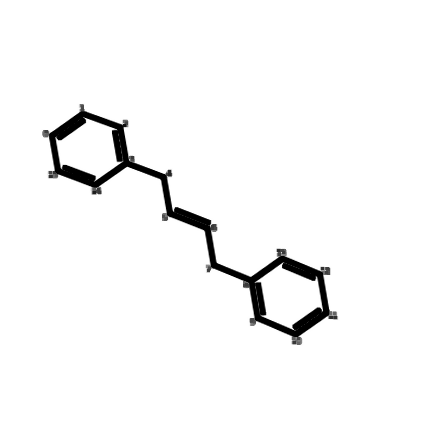 [c]1ccc(CC=CCc2ccccc2)cc1